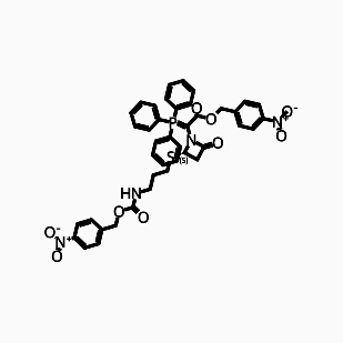 O=C(NCCCS[C@H]1CC(=O)N1C(C(=O)OCc1ccc([N+](=O)[O-])cc1)=P(c1ccccc1)(c1ccccc1)c1ccccc1)OCc1ccc([N+](=O)[O-])cc1